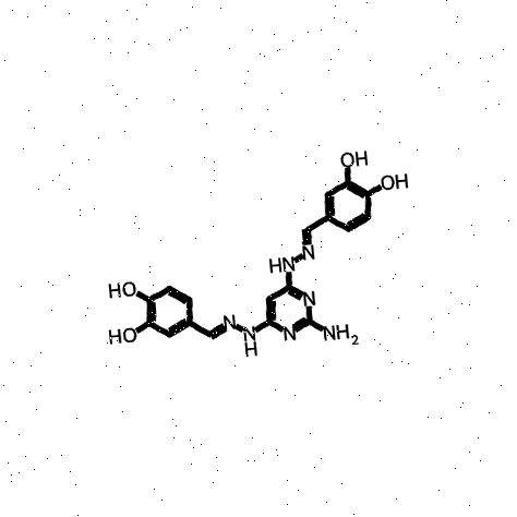 Nc1nc(N/N=C/c2ccc(O)c(O)c2)cc(N/N=C/c2ccc(O)c(O)c2)n1